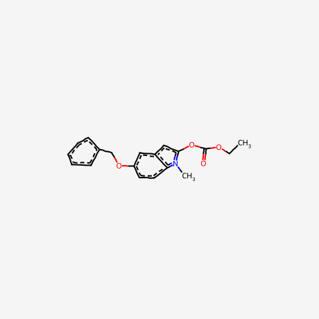 CCOC(=O)Oc1cc2cc(OCc3ccccc3)ccc2n1C